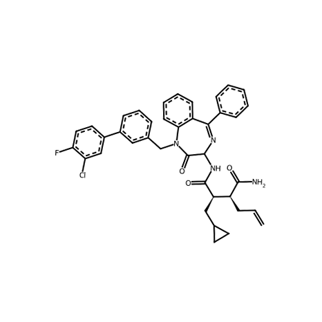 C=CC[C@H](C(N)=O)[C@@H](CC1CC1)C(=O)NC1N=C(c2ccccc2)c2ccccc2N(Cc2cccc(-c3ccc(F)c(Cl)c3)c2)C1=O